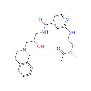 CC(=O)N(C)CCNc1cc(C(=O)NCC(O)CN2CCc3ccccc3C2)ccn1